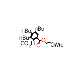 CCCCc1cc(C(=O)OCCOC)c(C(=O)O)c(CCCC)c1CCCC